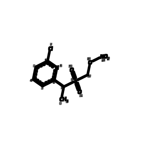 CC(c1cccc(Cl)n1)S(=O)(=O)CO[N+](=O)[O-]